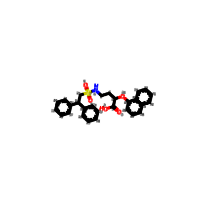 O=C(O)C(CCNS(=O)(=O)CC(c1ccccc1)c1ccccc1)Oc1cccc2ccccc12